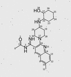 CC(=O)NC(=N)c1cc2cc(C)ccc2nc1N1CCC(NC2CCCCC2O)CC1